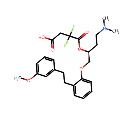 COc1cccc(CCc2ccccc2OC[C@H](CCN(C)C)OC(=O)C(F)(F)CC(=O)O)c1